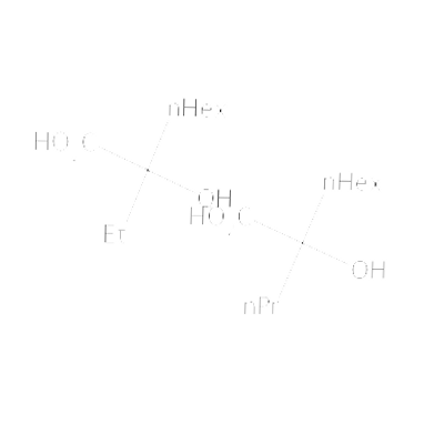 CCCCCCC(O)(CC)C(=O)O.CCCCCCC(O)(CCC)C(=O)O